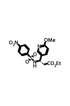 CCOC(=O)C[C@H](NS(=O)(=O)c1ccc([N+](=O)[O-])cc1)c1ccc(OC)nc1